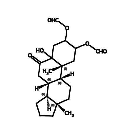 C[C@@]12CCC[C@H]1[C@@H]1CC(=O)C3(O)CC(OC=O)C(OC=O)C[C@]3(C)[C@@H]1CC2